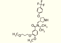 COCCCOc1cc(C(=O)N(C[C@@H]2CNC[C@H]2Oc2ccc(C(F)(F)F)cc2)C(C)C)ccc1OC